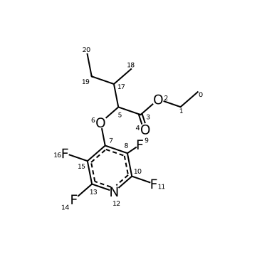 CCOC(=O)C(Oc1c(F)c(F)nc(F)c1F)C(C)CC